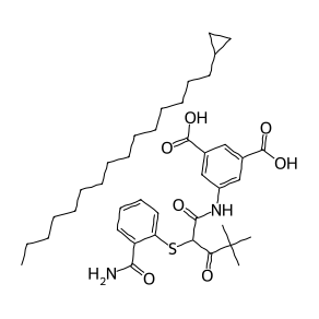 CC(C)(C)C(=O)C(Sc1ccccc1C(N)=O)C(=O)Nc1cc(C(=O)O)cc(C(=O)O)c1.CCCCCCCCCCCCCCCC1CC1